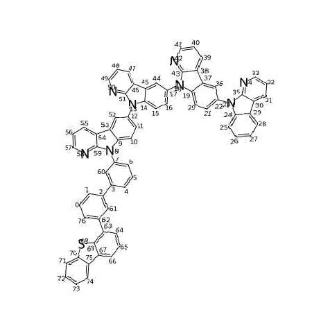 c1cc(-c2cccc(-n3c4ccc(-n5c6ccc(-n7c8ccc(-n9c%10ccccc%10c%10cccnc%109)cc8c8cccnc87)cc6c6cccnc65)cc4c4cccnc43)c2)cc(-c2cccc3c2sc2ccccc23)c1